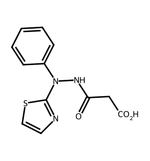 O=C(O)CC(=O)NN(c1ccccc1)c1nccs1